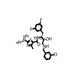 CCCN(CCC)c1nc(C)c(C(=O)N[C@@H](Cc2cc(F)cc(F)c2)[C@H](O)CNCc2cccc(CC)c2)s1